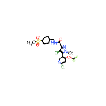 CCn1nc(C(=O)NCC2CCC(S(C)(=O)=O)CC2)c(Cl)c1-c1cnc(Cl)cc1OC(F)F